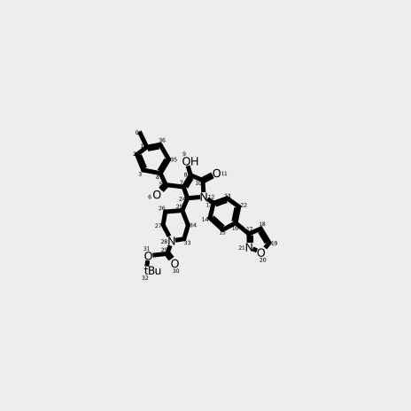 Cc1ccc(C(=O)C2=C(O)C(=O)N(c3ccc(-c4ccon4)cc3)C2C2CCN(C(=O)OC(C)(C)C)CC2)cc1